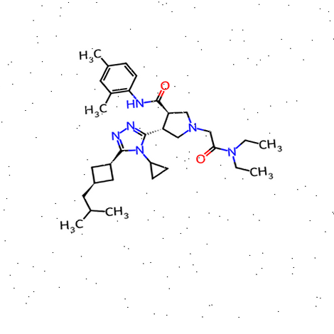 CCN(CC)C(=O)CN1C[C@H](C(=O)Nc2ccc(C)cc2C)[C@@H](c2nnc([C@H]3C[C@@H](CC(C)C)C3)n2C2CC2)C1